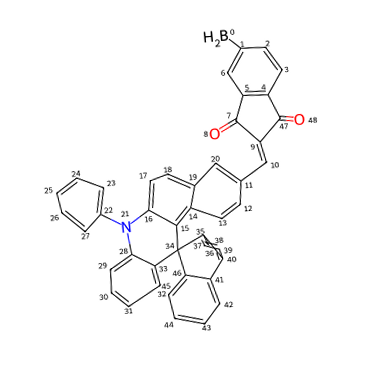 Bc1ccc2c(c1)C(=O)/C(=C\c1ccc3c4c(ccc3c1)N(c1ccccc1)c1ccccc1C41c3ccccc3-c3ccccc31)C2=O